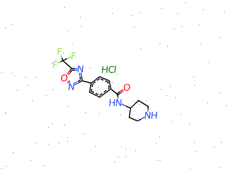 Cl.O=C(NC1CCNCC1)c1ccc(-c2noc(C(F)(F)F)n2)cc1